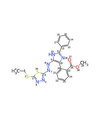 CCSc1nnc(/N=N/c2[nH]c(-c3ccccc3)nc2-c2ccccc2C(=O)OC)s1